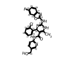 CC1=C(C(=O)Nc2ccc(CO)cn2)C(c2ccccc2Cl)N=C(Nc2nc3ccc(F)cc3o2)N1